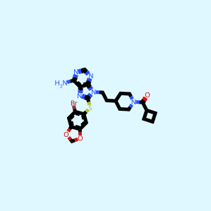 Nc1ncnc2c1nc(Sc1cc3c(cc1Br)OCO3)n2CCC1CCN(C(=O)C2CCC2)CC1